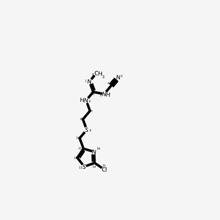 C/N=C(\NC#N)NCCSCc1csc(Cl)n1